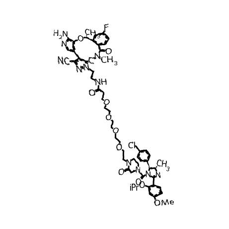 COc1ccc(C2=N[C@H](C)[C@H](c3ccc(Cl)cc3)N2C(=O)N2CCN(CCOCCOCCOCCOCCC(=O)NCCn3nc(C#N)c4c3CN(C)C(=O)c3ccc(F)cc3[C@@H](C)Oc3cc-4cnc3N)C(=O)C2)c(OC(C)C)c1